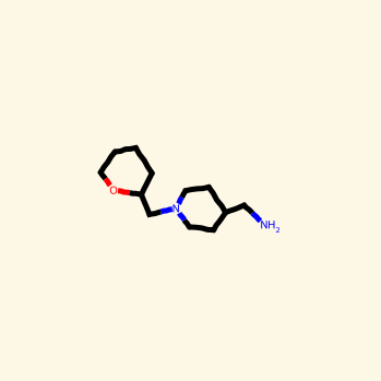 NCC1CCN(CC2CCCCO2)CC1